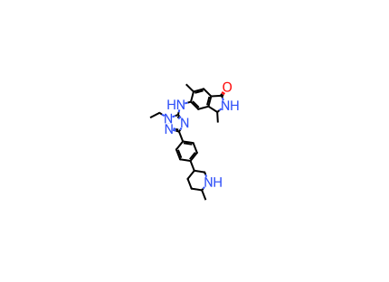 CCn1nc(-c2ccc(C3CCC(C)NC3)cc2)nc1Nc1cc2c(cc1C)C(=O)NC2C